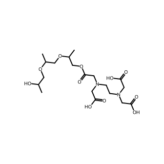 CC(O)COC(C)COC(C)COC(=O)CN(CCN(CC(=O)O)CC(=O)O)CC(=O)O